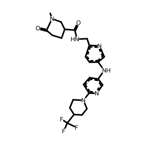 CN1CC(C(=O)NCc2ccc(Nc3ccc(N4CCC(C(F)(F)F)CC4)nc3)cn2)CCC1=O